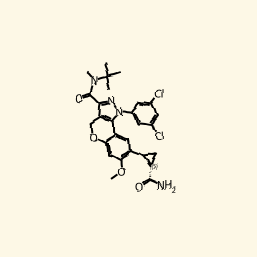 COc1cc2c(cc1C1C[C@@H]1C(N)=O)-c1c(c(C(=O)N(C)C(C)(C)C)nn1-c1cc(Cl)cc(Cl)c1)CO2